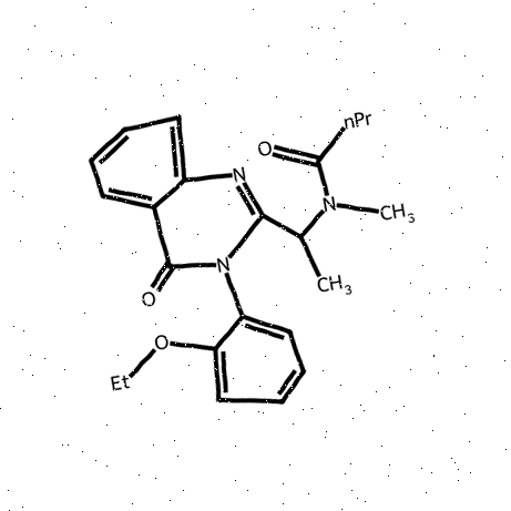 CCCC(=O)N(C)C(C)c1nc2ccccc2c(=O)n1-c1ccccc1OCC